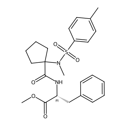 COC(=O)[C@@H](Cc1ccccc1)NC(=O)C1(N(C)S(=O)(=O)c2ccc(C)cc2)CCCC1